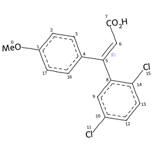 COc1ccc(/C(=C\C(=O)O)c2cc(Cl)ccc2Cl)cc1